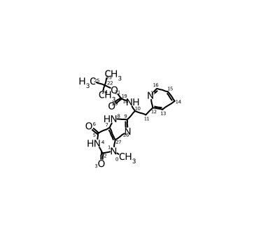 Cn1c(=O)[nH]c(=O)c2[nH]c(C(Cc3ccccn3)NC(=O)OC(C)(C)C)nc21